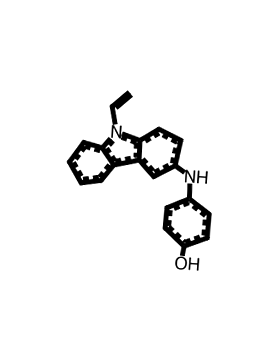 C=Cn1c2ccccc2c2cc(Nc3ccc(O)cc3)ccc21